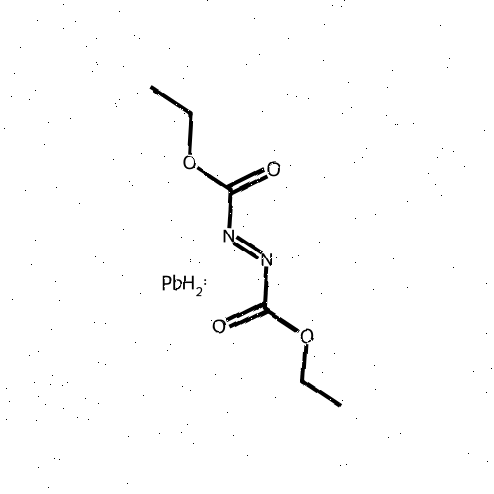 CCOC(=O)N=NC(=O)OCC.[PbH2]